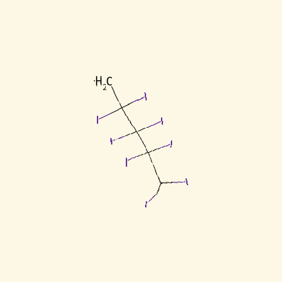 [CH2]C(I)(I)C(I)(I)C(I)(I)C(I)I